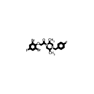 CC1CN(C(=O)COc2c(Br)cc(F)cc2Br)C(C)CN1Cc1ccc(F)cc1